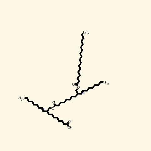 CCCCCCC/C=C/C(CCCCCCCC(=O)O)COC(=O)CCCCCCCC(/C=C/CCCCCCC)COC(=O)CCCCCCCCCCCCCCCCC